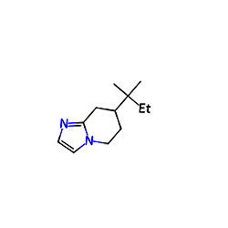 CCC(C)(C)C1CCn2ccnc2C1